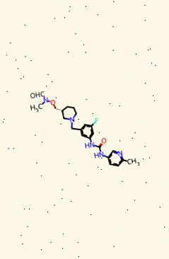 Cc1ccc(NC(=O)Nc2cc(F)cc(CN3CCC[C@@H](CON(C)C=O)C3)c2)cn1